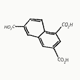 O=C(O)c1ccc2c(C(=O)O)cc(C(=O)O)cc2c1